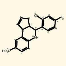 O=C(O)c1ccc2c(c1)C1C=CCC1C(c1ccc(Cl)cc1Cl)N2